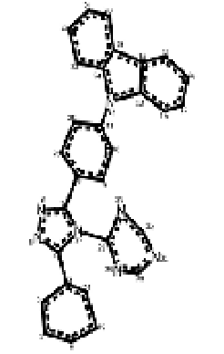 c1ccc(-c2nnc(-c3ccc(-n4c5ccccc5c5ccccc54)cc3)n2-c2ncncn2)cc1